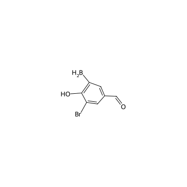 Bc1cc(C=O)cc(Br)c1O